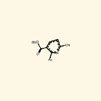 COC(=O)c1ccc(C#N)nc1C(C)=O